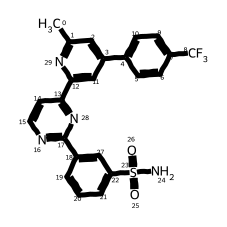 Cc1cc(-c2ccc(C(F)(F)F)cc2)cc(-c2ccnc(-c3cccc(S(N)(=O)=O)c3)n2)n1